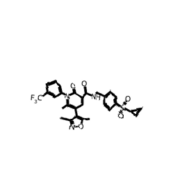 Cc1noc(C)c1-c1cc(C(=O)NCc2ccc(S(=O)(=O)C3CC3)cc2)c(=O)n(-c2cccc(C(F)(F)F)c2)c1C